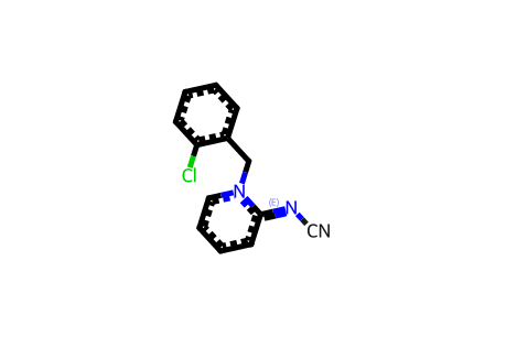 N#C/N=c1\ccccn1Cc1ccccc1Cl